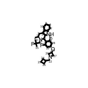 CC1Cc2c([nH]c3ccccc23)C(c2c(F)cc(OC3CN(CC4CCC4)C3)cc2F)N1CC(C)(C)F